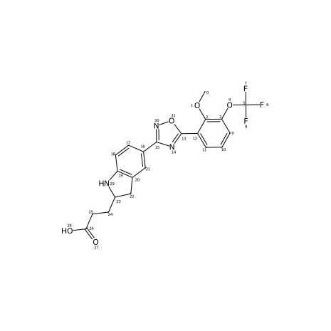 COc1c(OC(F)(F)F)cccc1-c1nc(-c2ccc3c(c2)CC(CCC(=O)O)N3)no1